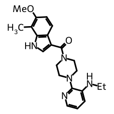 CCNc1cccnc1N1CCN(C(=O)c2c[nH]c3c(C)c(OC)ccc23)CC1